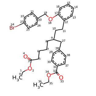 CCOC(=O)CCCCC(CCc1ccccc1OCc1ccc(Br)cc1)Cc1ccc(C(=O)OCC)cc1